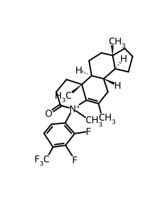 CC1=C2[C@](C)(CCC(=O)[N+]2(C)c2ccc(C(F)(F)F)c(F)c2F)[C@H]2CC[C@]3(C)CCC[C@H]3[C@@H]2C1